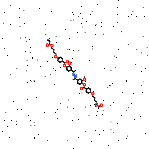 C=CC(=O)OCCCCOc1ccc(C(=O)Oc2ccc(/C(C)=N/N=C(\C)c3ccc(OC(=O)c4ccc(OCCCCOC(C)=O)cc4)c(OC)c3)cc2OC)cc1